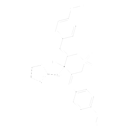 COc1ccc(C=C2CS(=O)(=O)CC(=Cc3ccc(OC)cc3)C2(O)NC2=NCCS2)cc1